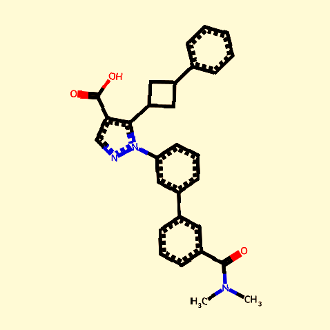 CN(C)C(=O)c1cccc(-c2cccc(-n3ncc(C(=O)O)c3C3CC(c4ccccc4)C3)c2)c1